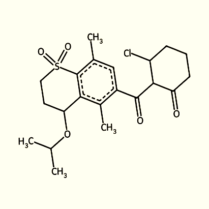 Cc1cc(C(=O)C2C(=O)CCCC2Cl)c(C)c2c1S(=O)(=O)CCC2OC(C)C